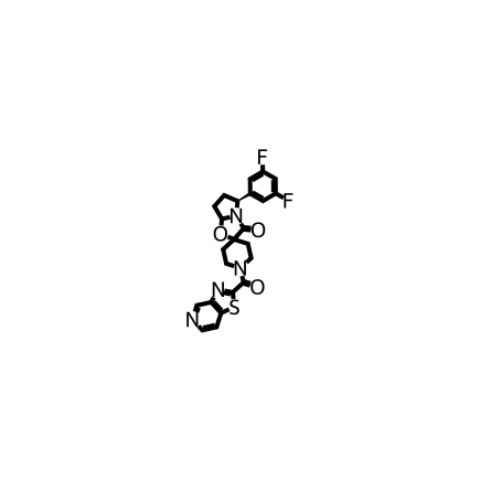 O=C(c1nc2cnccc2s1)N1CCC2(CC1)OC1CC[C@@H](c3cc(F)cc(F)c3)N1C2=O